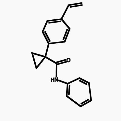 C=Cc1ccc(C2(C(=O)Nc3ccccc3)CC2)cc1